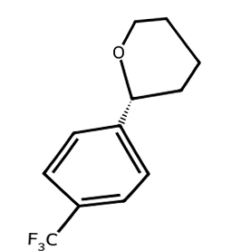 FC(F)(F)c1ccc([C@H]2CCCCO2)cc1